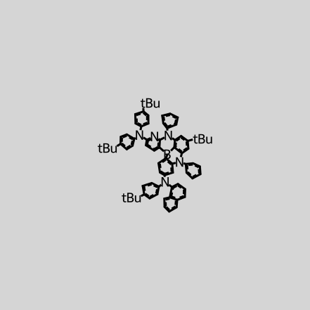 CC(C)(C)c1ccc(N(c2ccc(C(C)(C)C)cc2)c2ccc3c(n2)N(c2ccccc2)c2cc(C(C)(C)C)cc4c2B3c2ccc(N(c3ccc(C(C)(C)C)cc3)c3cccc5ccccc35)cc2N4c2ccccc2)cc1